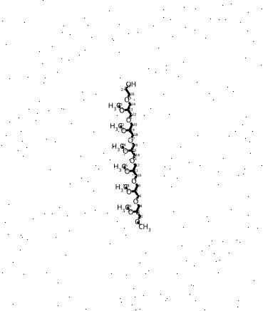 COCC(COCC(COCC(COCC(COCC(COCC(COCCO)OC)OC)OC)OC)OC)OC